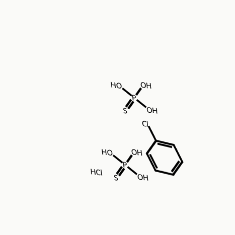 Cl.Clc1ccccc1.OP(O)(O)=S.OP(O)(O)=S